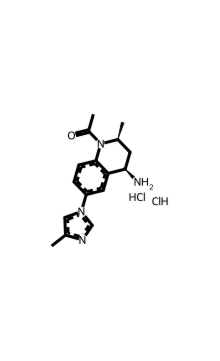 CC(=O)N1c2ccc(-n3cnc(C)c3)cc2[C@H](N)C[C@@H]1C.Cl.Cl